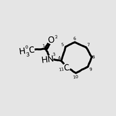 CC(=O)NC1CCCCCCC1